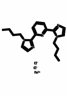 CCCCn1ccnc1-c1cccc(-c2nccn2CCCC)n1.[Cl-].[Cl-].[Fe+2]